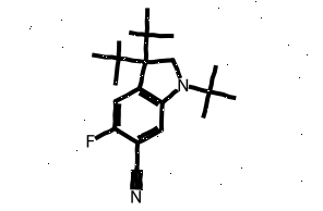 CC(C)(C)N1CC(C(C)(C)C)(C(C)(C)C)c2cc(F)c(C#N)cc21